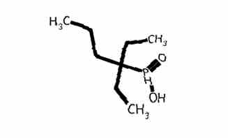 CCCC(CC)(CC)[PH](=O)O